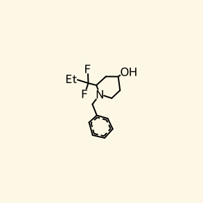 CCC(F)(F)C1CC(O)CCN1Cc1ccccc1